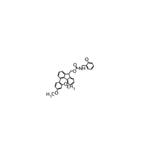 COc1ccc(-c2cccc3c2-c2ccccc2C3COC(=O)NCc2ccccc2[O])c(OC)c1